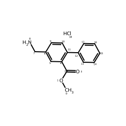 COC(=O)c1cc(CN)ccc1-c1ccccc1.Cl